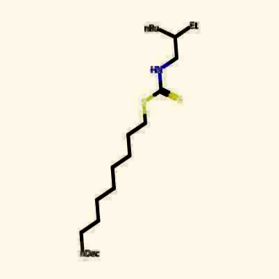 CCCCCCCCCCCCCCCCCCSC(=S)NCC(CC)CCCC